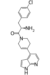 N[C@H](Cc1ccc(Cl)cc1)C(=O)N1CC=C(c2ccnc3[nH]ccc23)CC1